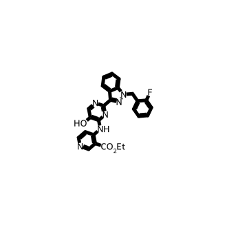 CCOC(=O)c1cnccc1Nc1nc(-c2nn(Cc3ccccc3F)c3ccccc23)ncc1O